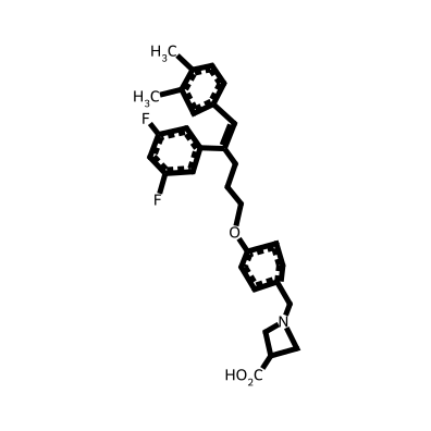 Cc1ccc(C=C(CCCOc2ccc(CN3CC(C(=O)O)C3)cc2)c2cc(F)cc(F)c2)cc1C